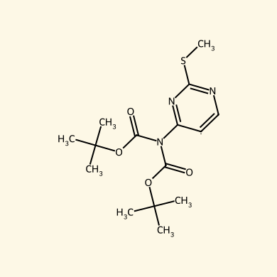 CSc1nc[c]c(N(C(=O)OC(C)(C)C)C(=O)OC(C)(C)C)n1